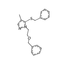 Cc1cnn(CCOCc2ccccc2)c1SCc1ccccc1